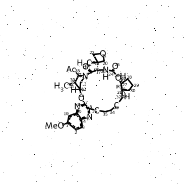 COc1ccc2nc3c(nc2c1)O[C@H]1CN(C(=O)[C@H](C2(C)COC2)NC(=O)O[C@@H]2CCC[C@H]2CCCCC3)[C@H](C(C)=O)[C@@H]1C